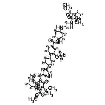 COCC(=O)N1CCC[C@@]1(C)C(=O)NCCNc1ccc(NC(=O)c2ccc(-c3ccc(-c4c[nH]c([C@@H]5C[C@@H]6CCCC[C@@H]6N5C(=O)[C@@H](NC(=O)OC)C(C)C)n4)cc3)c(OC(F)(F)F)c2)cn1